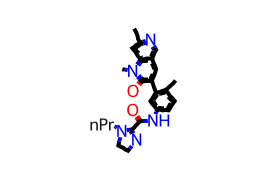 CCCN1CCN=C1C(=O)Nc1ccc(C)c(-c2cc3cnc(C)cc3n(C)c2=O)c1